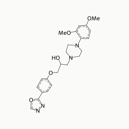 COc1ccc(N2CCN(CC(O)COc3ccc(-c4nnco4)cc3)CC2)c(OC)c1